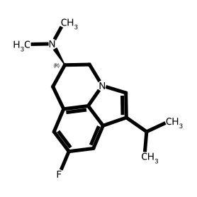 CC(C)c1cn2c3c(cc(F)cc13)C[C@@H](N(C)C)C2